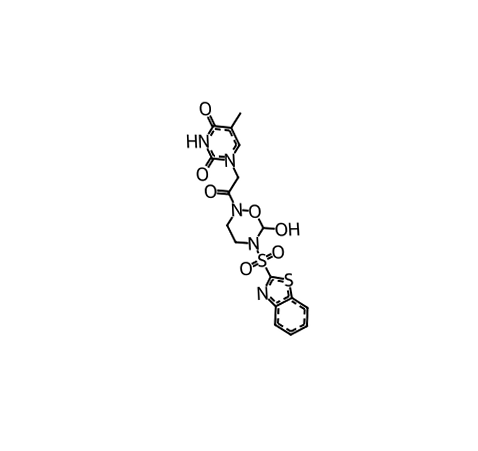 Cc1cn(CC(=O)N2CCN(S(=O)(=O)c3nc4ccccc4s3)C(O)O2)c(=O)[nH]c1=O